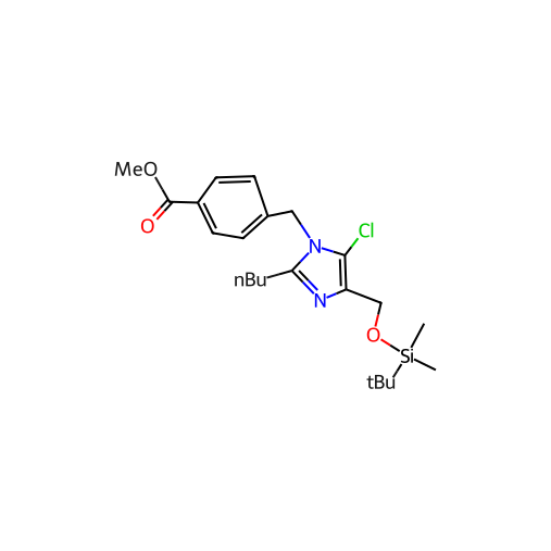 CCCCc1nc(CO[Si](C)(C)C(C)(C)C)c(Cl)n1Cc1ccc(C(=O)OC)cc1